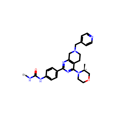 CCNC(=O)Nc1ccc(-c2nc3c(c(N4CCOC[C@@H]4C)n2)CCN(Cc2ccncc2)C3)cc1